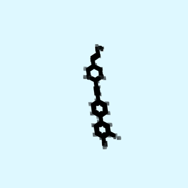 CCC/C=C/C1COC(C#Cc2ccc(-c3ccc(Cl)c(F)c3)cc2)OC1